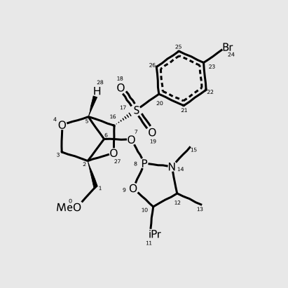 COC[C@@]12CO[C@@H](C1OP1OC(C(C)C)C(C)N1C)[C@H](S(=O)(=O)c1ccc(Br)cc1)O2